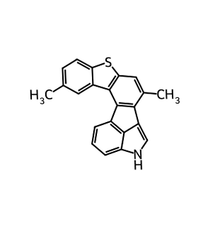 Cc1ccc2sc3cc(C)c4c(c3c2c1)-c1cccc2[nH]cc-4c12